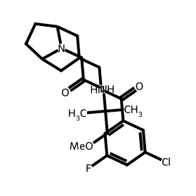 COCC(C)(C)NC(=O)CN1C2CCC1CC(CNC(=O)c1cc(F)cc(Cl)c1)C2